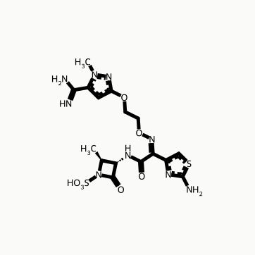 C[C@H]1[C@H](NC(=O)/C(=N\OCCOc2cc(C(=N)N)n(C)n2)c2csc(N)n2)C(=O)N1S(=O)(=O)O